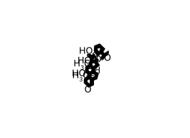 C[C@]12CCC(=O)C=C1CC[C@H]1[C@@H]3CC(OCC4(c5ccccc5)CO4)[C@](O)(C(=O)CO)[C@@]3(C)CC(O)[C@@]12F